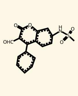 CS(=O)(=O)Nc1ccc2c(-c3ccccc3)c(C=O)c(=O)oc2c1